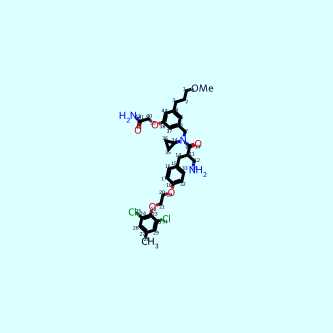 COCCCc1cc(CN(C(=O)C(CN)Cc2ccc(OCCOc3c(Cl)cc(C)cc3Cl)cc2)C2CC2)cc(OCC(N)=O)c1